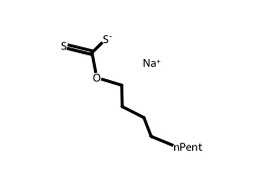 CCCCCCCCCOC(=S)[S-].[Na+]